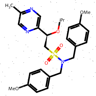 COc1ccc(CN(Cc2ccc(OC)cc2)S(=O)(=O)C[C@H](OC(C)C)c2cnc(C)cn2)cc1